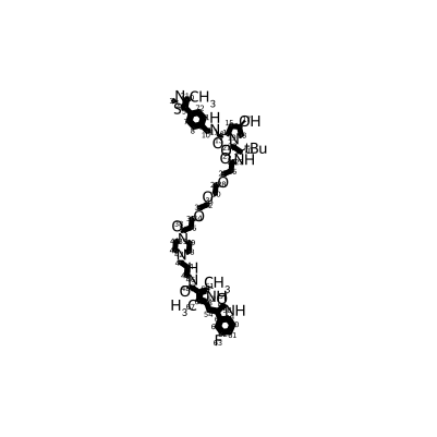 Cc1ncsc1-c1ccc(CNC(=O)[C@@H]2C[C@@H](O)CN2C(=O)[C@@H](NC(=O)CCOCCOCCOCCC(=O)N2CCN(CCCNC(=O)c3c(C)[nH]c(/C=C4\C(=O)Nc5ccc(F)cc54)c3C)CC2)C(C)(C)C)cc1